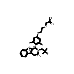 C[C@@H]1Cc2c([nH]c3ccccc23)[C@@H](c2c(F)cc(OCCOCC(=O)O)cc2F)N1CC(C)(C)F